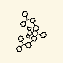 c1ccc(N(c2ccccc2)c2cccc(-c3ccc4c(c3)C3(c5cc(-c6cccc(N(c7ccccc7)c7ccccc7)c6)ccc5N4c4ccccc4)c4ncccc4-c4cccnc43)c2)cc1